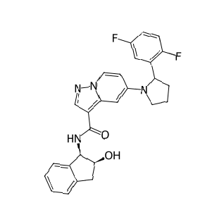 O=C(N[C@@H]1c2ccccc2C[C@@H]1O)c1cnn2ccc(N3CCCC3c3cc(F)ccc3F)cc12